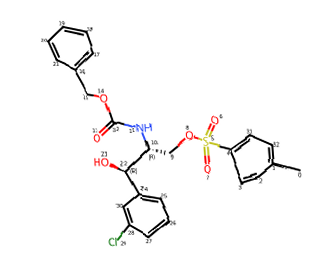 Cc1ccc(S(=O)(=O)OC[C@@H](NC(=O)OCc2ccccc2)[C@H](O)c2cccc(Cl)c2)cc1